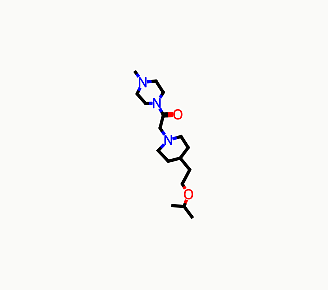 CC(C)OCCC1CCN(CC(=O)N2CCN(C)CC2)CC1